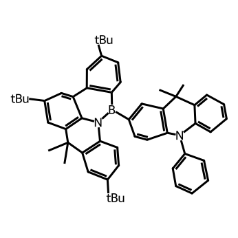 CC(C)(C)c1ccc2c(c1)-c1cc(C(C)(C)C)cc3c1N(B2c1ccc2c(c1)C(C)(C)c1ccccc1N2c1ccccc1)c1ccc(C(C)(C)C)cc1C3(C)C